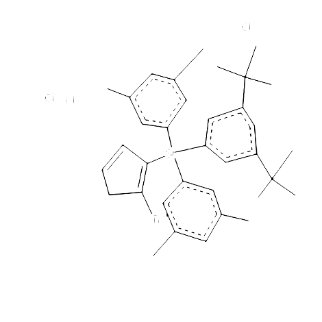 Cc1cc(C)cc([Si](C2=[C]([Ti+3])CC=C2)(c2cc(C)cc(C)c2)c2cc(C(C)(C)C)cc(C(C)(C)C)c2)c1.[Cl-].[Cl-].[Cl-]